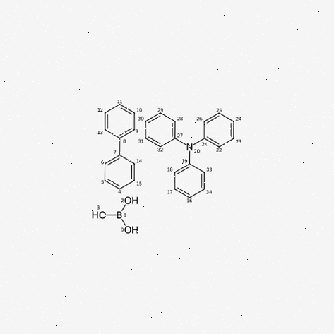 OB(O)O.c1ccc(-c2ccccc2)cc1.c1ccc(N(c2ccccc2)c2ccccc2)cc1